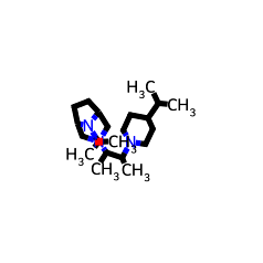 CC(C)C1CCN(C(C)C(C)N2CC3CCC(C2)N3C(C)C)CC1